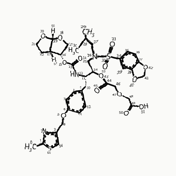 Cc1nc(COc2ccc(C[C@H](NC(=O)O[C@H]3CO[C@H]4OCC[C@H]43)[C@@H](CN(CC(C)C)S(=O)(=O)c3ccc4c(c3)OCO4)OC(=O)COCC(=O)O)cc2)cs1